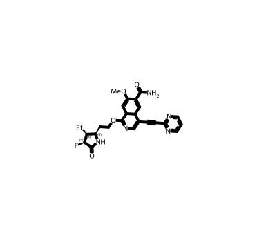 CC[C@@H]1[C@H](F)C(=O)N[C@@H]1CCOC1=NC=C(C#Cc2ncccn2)C2C=C(C(N)=O)C(OC)=CC12